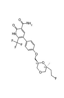 C[C@]1(CCF)COC[C@@H](COc2ccc(-c3cc(C(N)=O)c(=O)[nH]c3C(F)(F)F)cc2)O1